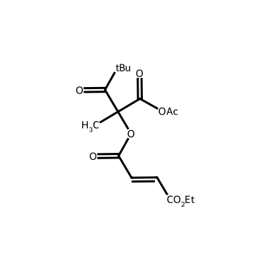 CCOC(=O)C=CC(=O)OC(C)(C(=O)OC(C)=O)C(=O)C(C)(C)C